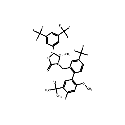 [2H]C(C)(C)c1cc(-c2ccc(C(F)(F)F)cc2CN2C(=O)O[C@H](c3cc(C(F)(F)F)cc(C(F)(F)F)c3)[C@@H]2C)c(OC)cc1F